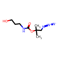 CC(C)(CN=[N+]=[N-])OC(=O)NCCCO